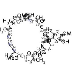 COC1CC2CC[C@@H](C)[C@@](O)(O2)C(=O)C(=O)N2CCC[C@@H]3C(C[C@@H]4CC[C@@H](O)[C@H](OC)C4)[C@H](CC(=O)C(C)/C=C(\C)[C@@H](O)[C@@H](OC)C(=O)[C@H](C)C[C@H](C)/C=C/C=C/C=C/1C)OC(=O)[C@H]32